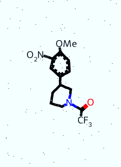 COc1ccc(C2CCCN(C(=O)C(F)(F)F)C2)cc1[N+](=O)[O-]